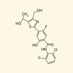 CC(O)c1sc(-c2cc(O)c(C(=O)Nc3c(F)cccc3Cl)cc2F)nc1CO